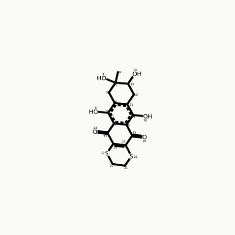 CC1(O)Cc2c(O)c3c(c(O)c2CC1O)C(=O)C1=C(SCCS1)C3=O